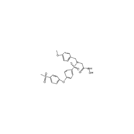 COc1ccc(CN(CC(=O)NO)S(=O)(=O)c2ccc(Oc3ccc(S(C)(=O)=O)cc3)cc2)cc1